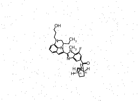 CCC1CN(CCCO)c2cccc3cc(-c4nc5cc(C(=O)N6C[C@H]7CC[C@@H]6[C@@H]7N)cc(F)c5n4C)n1c23